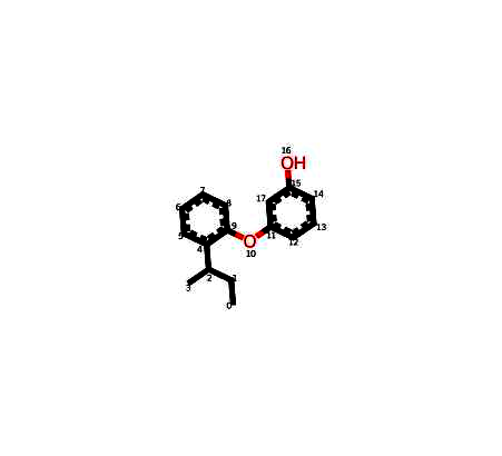 CCC(C)c1ccccc1Oc1cccc(O)c1